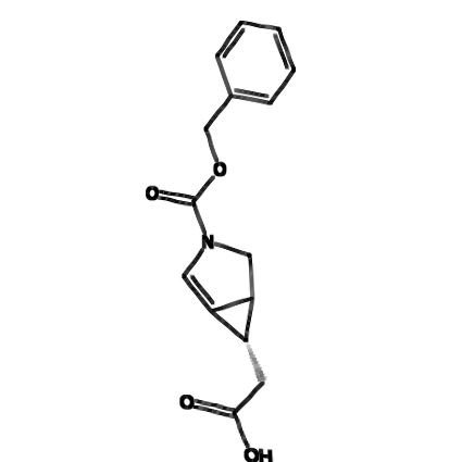 O=C(O)C[C@@H]1C2=CN(C(=O)OCc3ccccc3)CC21